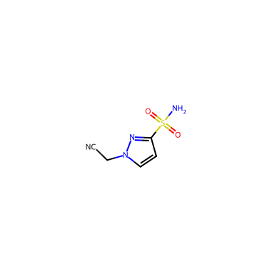 N#CCn1ccc(S(N)(=O)=O)n1